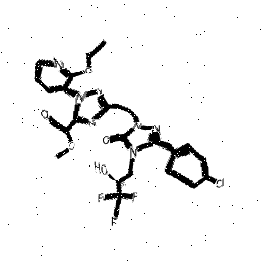 CCOc1ncccc1-n1nc(Cn2nc(-c3ccc(Cl)cc3)n(C[C@H](O)C(F)(F)F)c2=O)nc1C(=O)OC